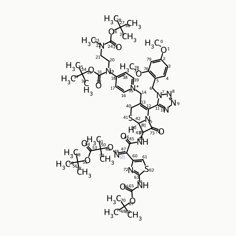 COc1ccc(Cn2nnnc2C2=C(C[n+]3ccc(N(CCN(C)C(=O)OC(C)(C)C)C(=O)OC(C)(C)C)cc3)CS[C@@H]3[C@H](NC(=O)/C(=N\OC(C)(C)C(=O)OC(C)(C)C)c4csc(NC(=O)OC(C)(C)C)n4)C(=O)N23)c(OC)c1